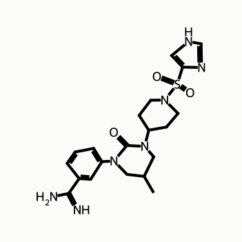 CC1CN(c2cccc(C(=N)N)c2)C(=O)N(C2CCN(S(=O)(=O)c3c[nH]cn3)CC2)C1